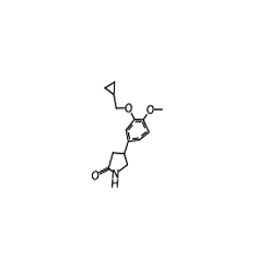 COc1ccc(C2CNC(=O)C2)cc1OCC1CC1